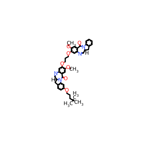 COc1cc2c(cc1OCCCOc1cc3c(cc1OC)C(=O)N1c4cc(OCCCC(C)(C)C)ccc4C[C@H]1C=N3)N=C[C@@H]1Cc3ccccc3N1C2=O